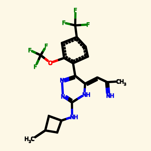 CC(=N)/C=C1\NC(NC2CC(C)C2)=NN=C1c1ccc(C(F)(F)F)cc1OC(F)(F)F